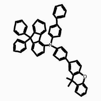 CC1(C)c2ccccc2Oc2ccc(-c3ccc(N(c4ccc(-c5ccccc5)cc4)c4cccc5c4-c4ccccc4C5(c4ccccc4)c4ccccc4)cc3)cc21